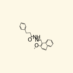 COc1ccc2ccccc2c1C=NNC(=O)CCc1ccccc1